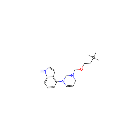 C[Si](C)(C)CCOCN1CC=CN(c2cccc3[nH]ccc23)C1